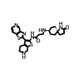 O=C(CCN[C@H]1CC[C@]2(CCC(=O)N2)CC1)Nc1sc2c(c1-c1nc3cnccc3s1)CCNC2